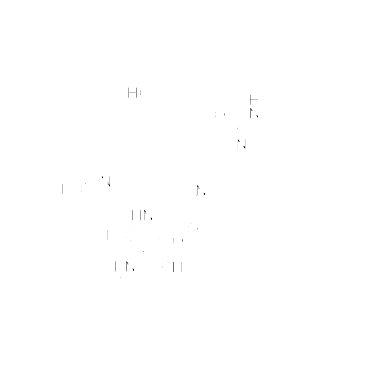 Cl.Cn1cc(CC(NC(=O)C(C)(C)N)C(=O)N2CCC(n3c(=O)[nH]c4ccccc43)CC2)c2ccccc21